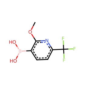 COc1nc(C(F)(F)F)ccc1B(O)O